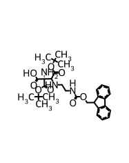 CC(C)(C)OC(=O)C(NCCNC(=O)OCC1c2ccccc2-c2ccccc21)[C@](N)(C(=O)O)C(=O)OC(C)(C)C